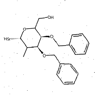 CC1[C@H]([SrH])OC(CO)[C@@H](OCc2ccccc2)[C@H]1OCc1ccccc1